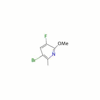 COc1nc(C)c(Br)cc1F